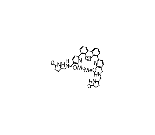 COc1nc(-c2cccc(-c3cccc(-c4ccc(CNC[C@H]5CCC(=O)N5)c(OC)n4)c3Cl)c2Cl)ccc1CNC[C@H]1CCC(=O)N1